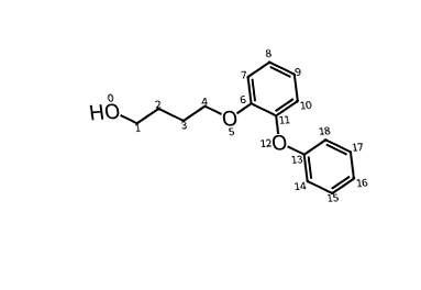 OCCCCOc1ccccc1Oc1ccccc1